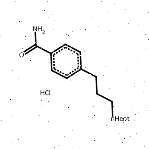 CCCCCCCCCCc1ccc(C(N)=O)cc1.Cl